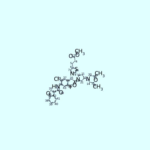 COC(=O)CCc1cnc([C@@H]2C[C@H](N3C[C@@H](C)O[C@@H](C)C3)CN2C(=O)Cc2cc(Cl)c(NC(=O)c3coc4ccccc34)cc2F)s1